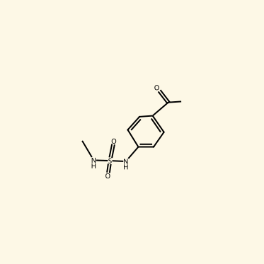 CNS(=O)(=O)Nc1ccc(C(C)=O)cc1